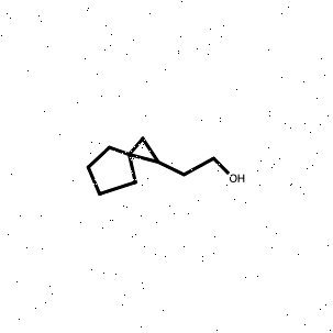 OCCC1CC12CCCC2